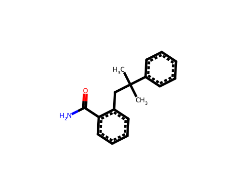 CC(C)(Cc1ccccc1C(N)=O)c1ccccc1